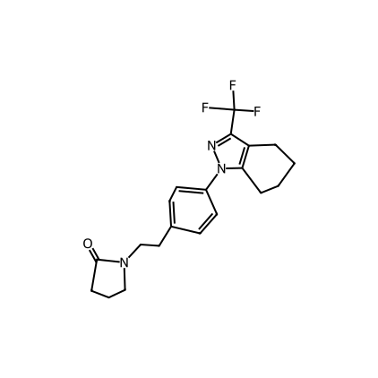 O=C1CCCN1CCc1ccc(-n2nc(C(F)(F)F)c3c2CCCC3)cc1